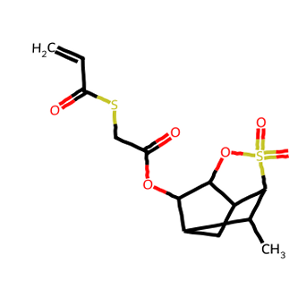 C=CC(=O)SCC(=O)OC1C2CC3C1OS(=O)(=O)C3C2C